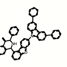 C=C1c2ccccc2C(c2cccc3oc4cc(-n5c6ccc(-c7ccccc7)cc6c6cc(-c7ccccc7)ccc65)ccc4c23)NC1c1ccccc1